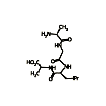 CC(C)C[C@H](NC(=O)CNC(=O)[C@H](C)N)C(=O)N[C@@H](C)C(=O)O